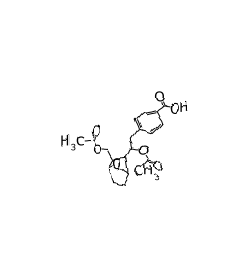 CC(=O)OCC1C2CCC(O2)C1C(Cc1ccc(C(=O)O)cc1)OC(C)=O